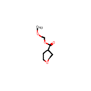 O=COCOC(=O)C1CCOCC1